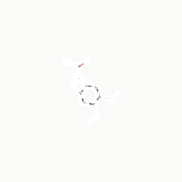 COc1cc2c(cc1OC)[C@@H](C(=O)Cl)C2